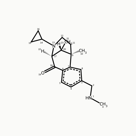 CNCc1ccc2c(c1)[C@]1(C)CCN(C3CC3)[C@H](C2=O)[C@@H]1C